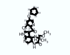 COC[C@]1(C)Nc2c(cnc3[nH]cc(C(=O)c4ncc(Oc5ccccc5)cc4Cl)c23)NC1=O